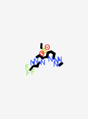 CCS(=O)(=O)c1ccc(-n2nccn2)nc1-c1ccn2nc(C(F)(F)F)cc2n1